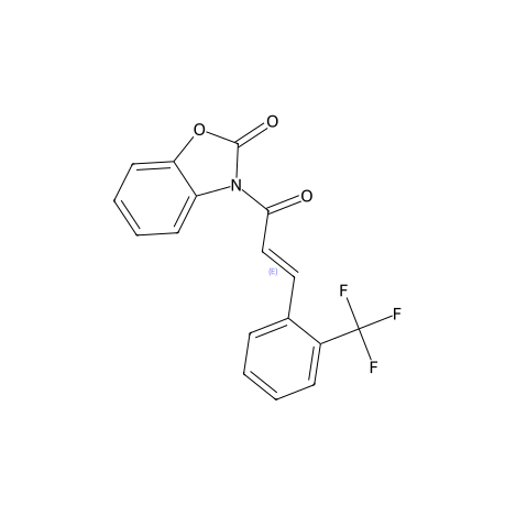 O=C(/C=C/c1ccccc1C(F)(F)F)n1c(=O)oc2ccccc21